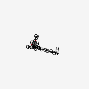 CC(=O)NCCC[C@H](NC(=O)[C@H](NC(=O)CCOCCOCCOCCOCCOCCOCCNC(C)C)C(C)C)C(=O)Nc1ccc(COC(=O)C(C)C)cc1